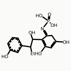 CCC(c1cccc(O)c1)C(O)C1=C(O)C=C(O)CC1=NP(=O)(O)O